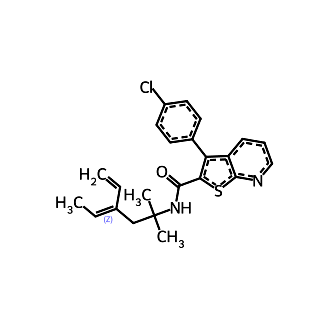 C=C/C(=C\C)CC(C)(C)NC(=O)c1sc2ncccc2c1-c1ccc(Cl)cc1